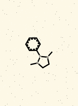 CN1CCN(C)P1c1ccccc1